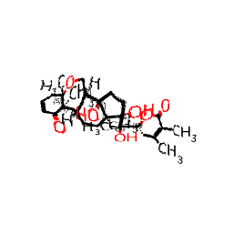 CC1=C(C)C(=O)O[C@@H]([C@](C)(O)[C@]2(O)CC[C@@]3(O)[C@@H]4CO[C@@]5(C)CC=CC(=O)[C@]5(C)[C@H]4CC[C@]23C)C1